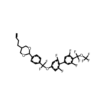 C=CCCC1COC(c2ccc(C(F)(F)Oc3cc(F)c(-c4cc(F)c(C(F)(F)OC(F)(F)F)c(F)c4)c(F)c3)cc2)OC1